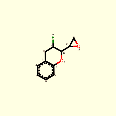 FC1Cc2ccccc2OC1C1CO1